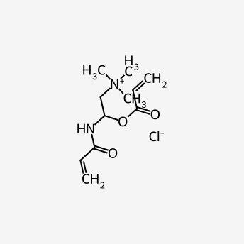 C=CC(=O)NC(C[N+](C)(C)C)OC(=O)C=C.[Cl-]